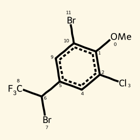 COc1c(Cl)cc(C(Br)C(F)(F)F)cc1Br